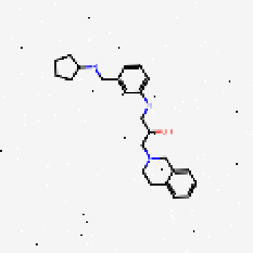 OC(CNc1cccc(CNC2CCCC2)c1)CN1CCc2ccccc2C1